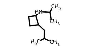 CC(C)CC1CCC1NC(C)C